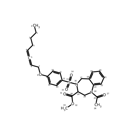 CCCCC=C=CCOc1ccc(S(=O)(=O)N2Cc3ccccc3N(C(C)=O)CC2C(=O)OC)cc1